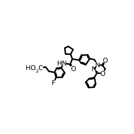 O=C(O)CCc1cc(NC(=O)C(c2ccc(CN3N=C(c4ccccc4)OCC3=O)cc2)C2CCCC2)ccc1F